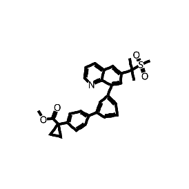 COC(=O)C1(c2ccc(-c3cccc(-c4cc(C(C)(C)S(C)(=O)=O)cc5cccnc45)c3)cc2)CC1